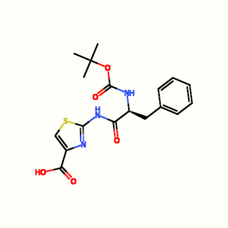 CC(C)(C)OC(=O)N[C@@H](Cc1ccccc1)C(=O)Nc1nc(C(=O)O)cs1